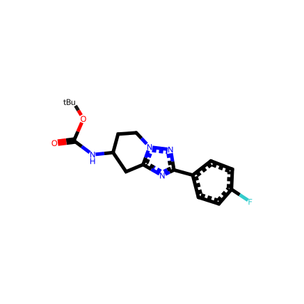 CC(C)(C)OC(=O)NC1CCn2nc(-c3ccc(F)cc3)nc2C1